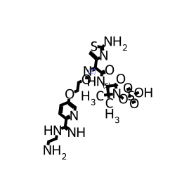 CC1(C)[C@H](NC(=O)/C(=N\OCCOc2ccc(C(=N)NCCN)nc2)c2csc(N)n2)C(=O)N1OS(=O)(=O)O